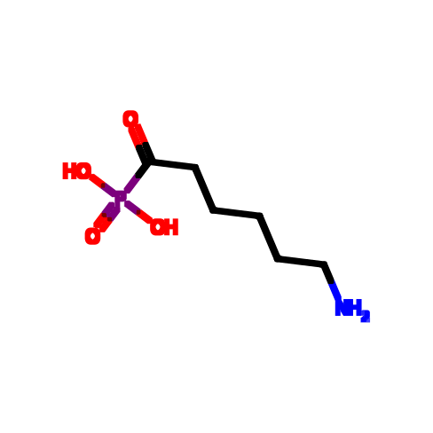 NCCCCCC(=O)P(=O)(O)O